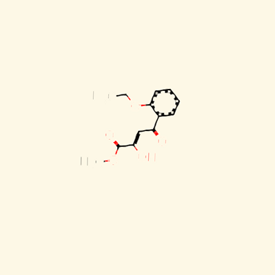 CCOc1ccccc1C(=O)C=C(O)C(=O)OC